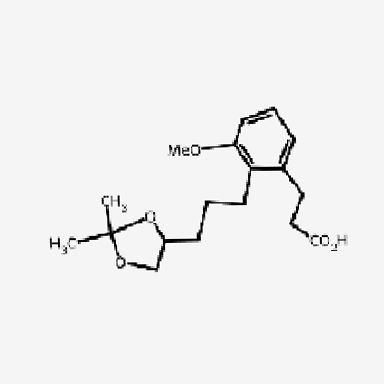 COc1cccc(CCC(=O)O)c1CCCC1COC(C)(C)O1